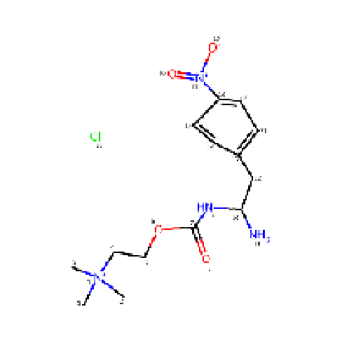 C[N+](C)(C)CCOC(=O)NC(N)Cc1ccc([N+](=O)[O-])cc1.[Cl-]